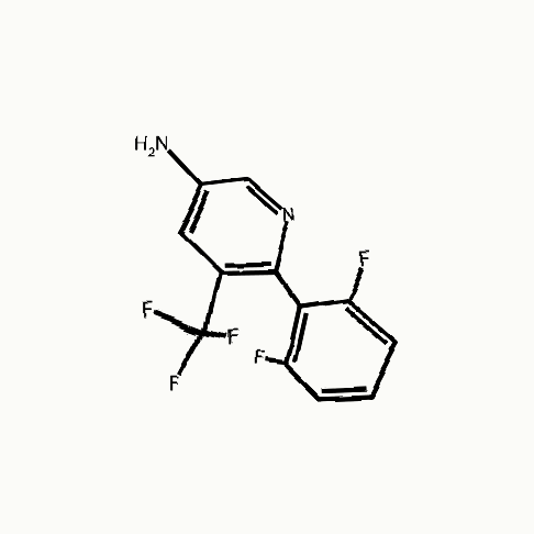 Nc1cnc(-c2c(F)cccc2F)c(C(F)(F)F)c1